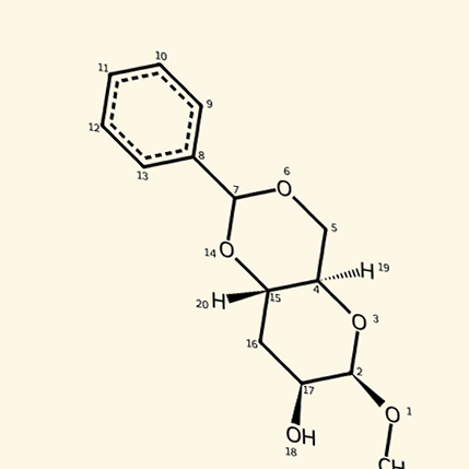 CO[C@@H]1O[C@@H]2COC(c3ccccc3)O[C@H]2C[C@@H]1O